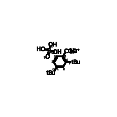 CC(C)(C)c1ccc(C(=O)[O-])c(C(C)(C)C)c1.O=P(O)(O)O.[Na+]